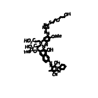 COc1cc(N=Nc2c(SOOO)cc3ccc(N=Nc4c(C)c(C#N)c5nc6ccccc6n5c4O)cc3c2O)c(N(CCC(=O)O)CCC(=O)O)cc1N=Nc1nnc(SCCOCCO)s1